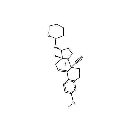 COc1ccc2c(c1)CCC1(C#N)C2=CC[C@]2(C)[C@@H](OC3CCCCO3)CC[C@@H]12